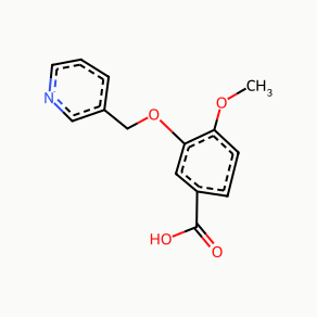 COc1ccc(C(=O)O)cc1OCc1cccnc1